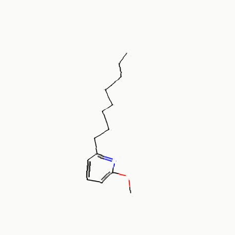 CCCOc1cccc(CCCCCCCC(C)C)n1